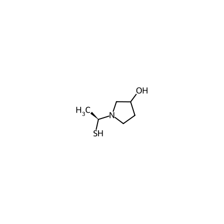 C[C@H](S)N1CCC(O)C1